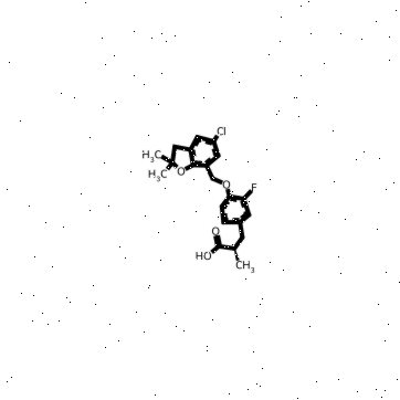 C[C@H](Cc1ccc(OCc2cc(Cl)cc3c2OC(C)(C)C3)c(F)c1)C(=O)O